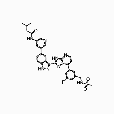 CC(C)CC(=O)Nc1cncc(-c2ccc3[nH]nc(-c4nc5c(-c6cc(F)cc(CNS(C)(=O)=O)c6)ccnc5[nH]4)c3c2)c1